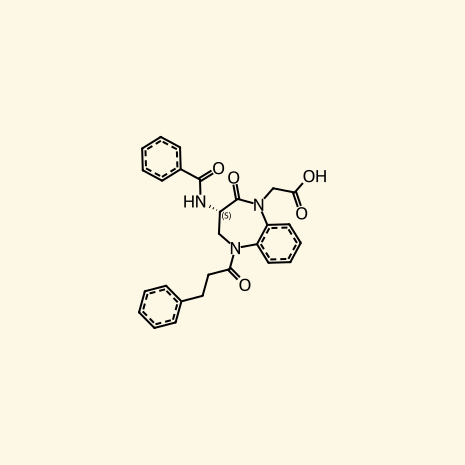 O=C(O)CN1C(=O)[C@@H](NC(=O)c2ccccc2)CN(C(=O)CCc2ccccc2)c2ccccc21